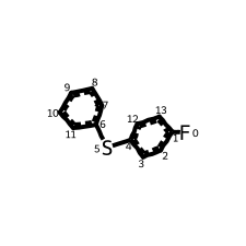 Fc1ccc(Sc2[c]cccc2)cc1